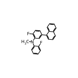 CN(c1ccccc1F)c1cc(-c2cccc3ccccc23)ccc1F